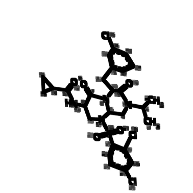 CC(C)N1CC2N(C(=O)C(NC(=O)C3CC3)CN2S(=O)(=O)c2ccc(Cl)cc2Cl)C(Cc2cccc(Cl)c2)C1=O